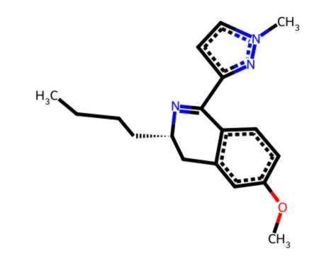 CCCC[C@H]1Cc2cc(OC)ccc2C(c2ccn(C)n2)=N1